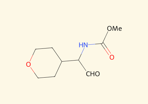 COC(=O)NC(C=O)C1CCOCC1